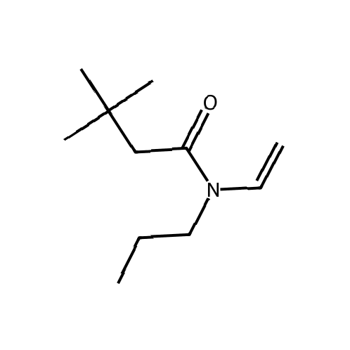 C=CN(CCC)C(=O)CC(C)(C)C